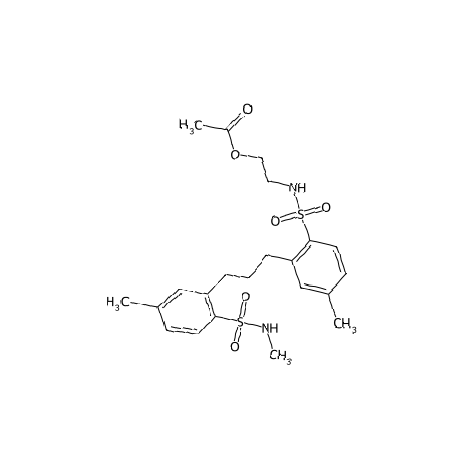 CNS(=O)(=O)c1ccc(C)cc1CCCc1cc(C)ccc1S(=O)(=O)NCCOC(C)=O